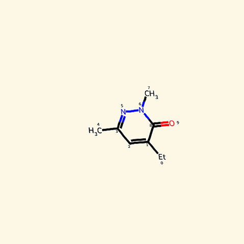 CCc1cc(C)nn(C)c1=O